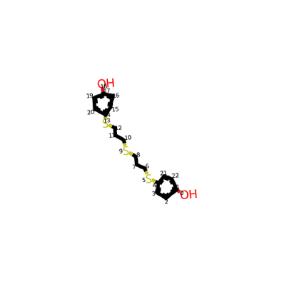 Oc1ccc(SCCCSCCCSc2ccc(O)cc2)cc1